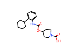 O=C(Nc1ccccc1C1CCCCC1)OC1CCN(C(=O)O)CC1